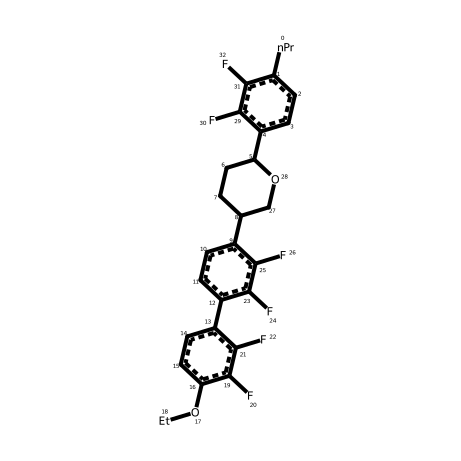 CCCc1ccc(C2CCC(c3ccc(-c4ccc(OCC)c(F)c4F)c(F)c3F)CO2)c(F)c1F